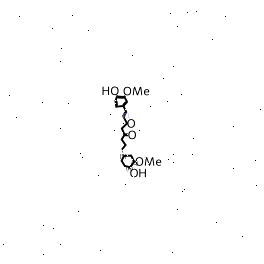 COc1cc(/C=C/C(=O)CC(=O)CCC[C@H]2CC[C@@H](O)[C@@H](OC)C2)ccc1O